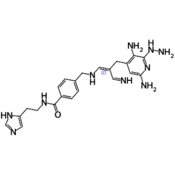 N=C/C(=C\NCc1ccc(C(=O)NCCc2cnc[nH]2)cc1)Cc1cc(N)nc(NN)c1N